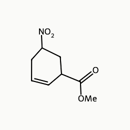 COC(=O)C1C=CCC([N+](=O)[O-])C1